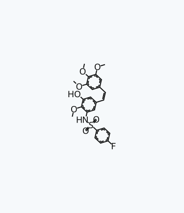 COc1cc(/C=C\c2cc(O)c(OC)c(NS(=O)(=O)c3ccc(F)cc3)c2)cc(OC)c1OC